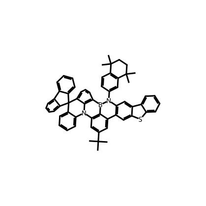 CC(C)(C)c1cc2c3c(c1)N1c4ccccc4C4(c5ccccc5-c5ccccc54)c4cccc(c41)B3N(c1ccc3c(c1)C(C)(C)CCC3(C)C)c1cc3c(cc1-2)sc1ccccc13